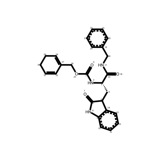 O=C(N[C@@H](CC1C(=O)Nc2ccccc21)C(=O)NCc1ccccc1)OCC1=CCCC=C1